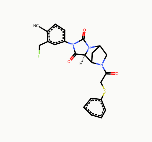 N#Cc1ccc(N2C(=O)[C@@H]3C4CC(CN4C(=O)CSc4ccccc4)N3C2=O)cc1CF